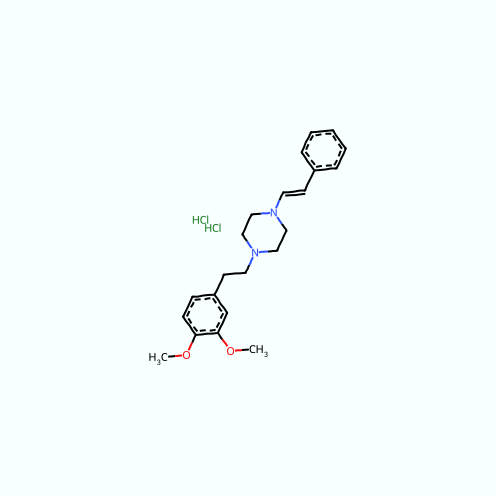 COc1ccc(CCN2CCN(C=Cc3ccccc3)CC2)cc1OC.Cl.Cl